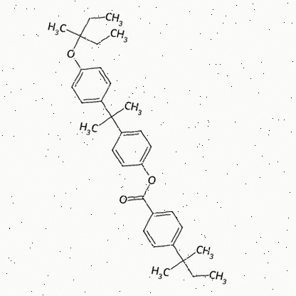 CCC(C)(CC)Oc1ccc(C(C)(C)c2ccc(OC(=O)c3ccc(C(C)(C)CC)cc3)cc2)cc1